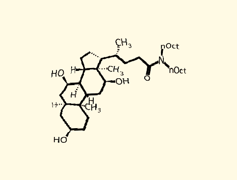 CCCCCCCCN(CCCCCCCC)C(=O)CC[C@@H](C)[C@H]1CC[C@H]2[C@@H]3[C@H](O)C[C@@H]4C[C@H](O)CC[C@]4(C)[C@H]3C[C@H](O)[C@]12C